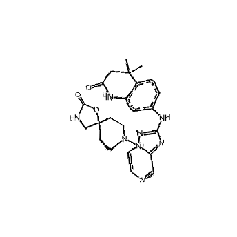 CC1(C)CC(=O)Nc2cc(NC3=N[N+]4(N5CCC6(CC5)CNC(=O)O6)C=CN=CC4=N3)ccc21